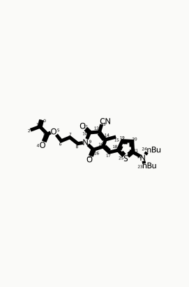 C=C(C)C(=O)OCCCN1C(=O)C(C#N)=C(C)/C(=C\c2ccc(N(CCCC)CCCC)s2)C1=O